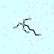 CCCO[Si](CCCCCl)(OCCC)OCCC